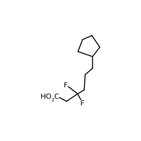 O=C(O)CC(F)(F)CCCC1CCCC1